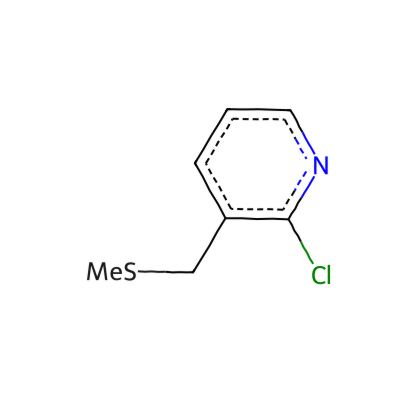 CSCc1cccnc1Cl